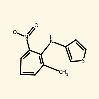 Cc1cccc([N+](=O)[O-])c1Nc1ccsc1